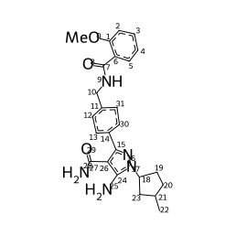 COc1ccccc1C(=O)NCc1ccc(-c2nn(C3CCC(C)C3)c(N)c2C(N)=O)cc1